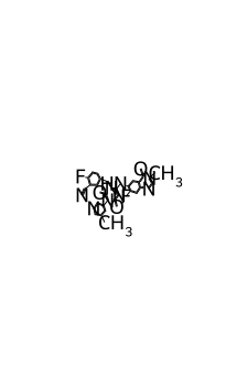 Cc1cncc(-n2c(=O)nc(Nc3cc4c(=O)n(C)cnc4cc3F)n(Cc3ccc(F)c(C#N)c3)c2=O)c1